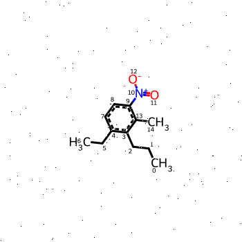 CCCc1c(CC)c[c]c([N+](=O)[O-])c1C